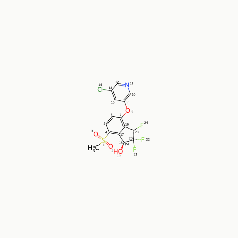 CS(=O)(=O)c1ccc(Oc2cncc(Cl)c2)c2c1[C@H](O)C(F)(F)C2F